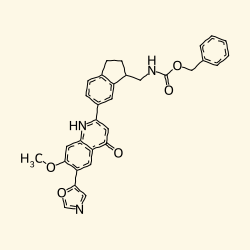 COc1cc2[nH]c(-c3ccc4c(c3)C(CNC(=O)OCc3ccccc3)CC4)cc(=O)c2cc1-c1cnco1